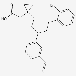 O=Cc1cccc(C(CCc2ccccc2Br)SCC2(CC(=O)O)CC2)c1